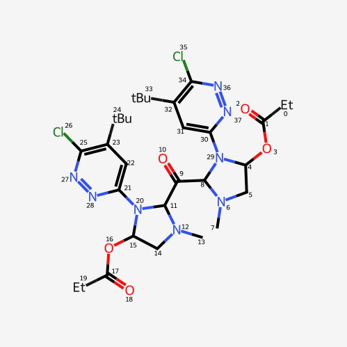 CCC(=O)OC1CN(C)C(C(=O)C2N(C)CC(OC(=O)CC)N2c2cc(C(C)(C)C)c(Cl)nn2)N1c1cc(C(C)(C)C)c(Cl)nn1